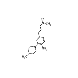 CCN(C)CCCc1ccc(N)c(N2CCC(C)CC2)c1